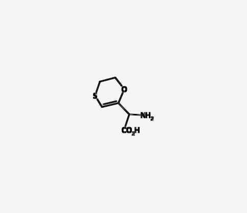 NC(C(=O)O)C1=CSCCO1